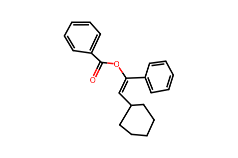 O=C(O/C(=C/C1CCCCC1)c1ccccc1)c1ccccc1